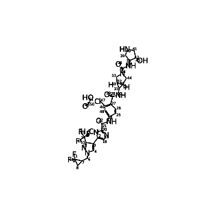 Cn1c(-c2cn(CC3CC3(F)F)nc2C(F)(F)F)cnc1C(=O)Nc1ccc(C(=O)NC2[C@H]3CN(C(=O)N[C@H]4CNC[C@@H]4O)C[C@@H]23)c(Cl)c1.O=CO